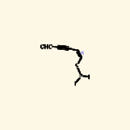 O=CC#C/C=C\SP(I)I